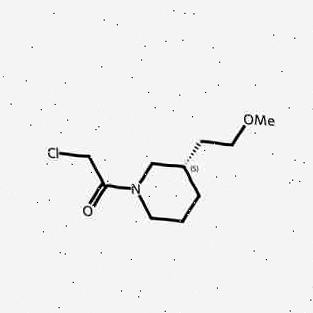 COCC[C@@H]1CCCN(C(=O)CCl)C1